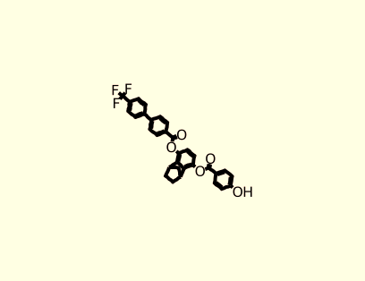 O=C(Oc1ccc(OC(=O)c2ccc(-c3ccc(C(F)(F)F)cc3)cc2)c2c1C1CCC2C1)c1ccc(O)cc1